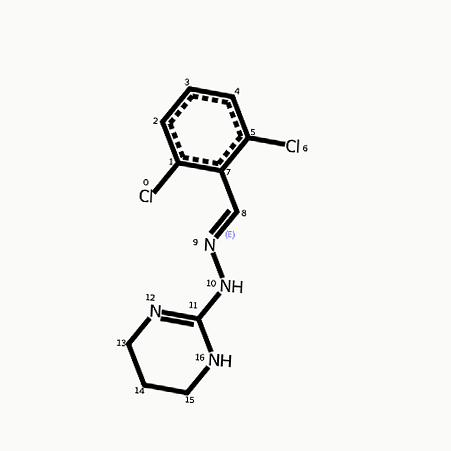 Clc1cccc(Cl)c1/C=N/NC1=NCCCN1